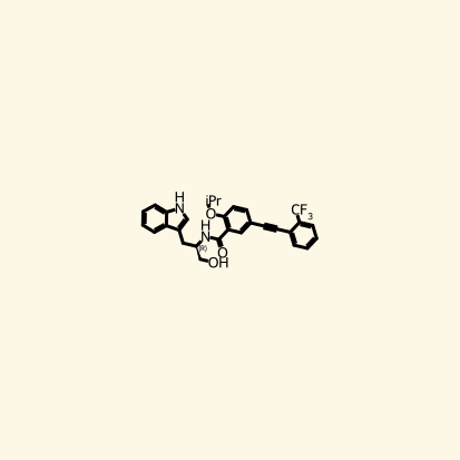 CC(C)Oc1ccc(C#Cc2ccccc2C(F)(F)F)cc1C(=O)N[C@@H](CO)Cc1c[nH]c2ccccc12